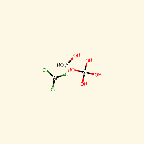 O=S(=O)(O)O.O[Si](O)(O)O.[Cl][Al]([Cl])[Cl]